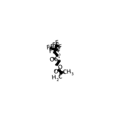 C=C(C)C(=O)OCC[S+]([O-])CCC(F)(C(F)(F)F)C(F)(F)F